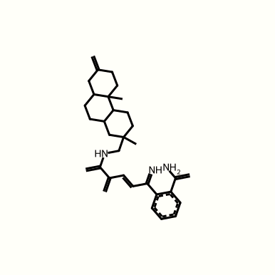 C=C1CCC2(C)C(CCC3CC(C)(CNC(=C)C(=C)C=CC(=N)c4ccccc4C(=C)N)CCC32)C1